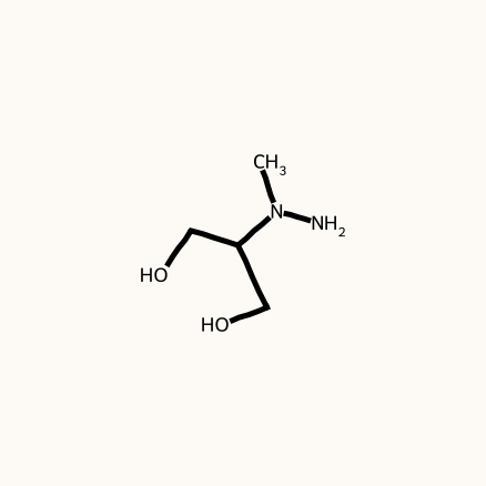 CN(N)C(CO)CO